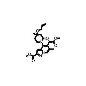 C=CCOC1(C)CCN(c2c([C@H](O)C(=O)OC)c(C)cn3nc(C(=O)OC)cc23)CC1